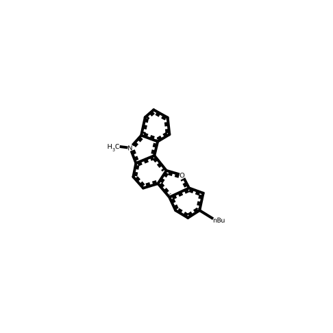 CCCCc1ccc2c(c1)oc1c2ccc2c1c1ccccc1n2C